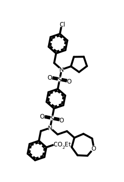 CCOC(=O)c1ccccc1CN(CCC1CCCOCC1)S(=O)(=O)c1ccc(S(=O)(=O)N(Cc2ccc(Cl)cc2)C2CCCC2)cc1